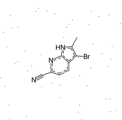 Cc1[nH]c2nc(C#N)ccc2c1Br